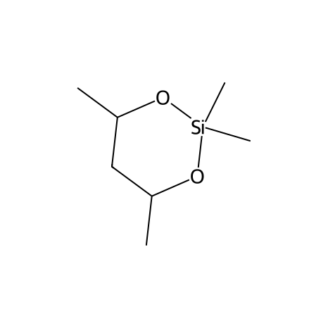 CC1CC(C)O[Si](C)(C)O1